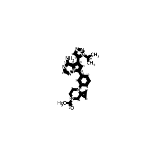 CC(=O)N1CCN(c2cccc(-c3cc(-c4cnnn4C(C)C)c4c(N)ncnn34)c2)C2(CC2)C1